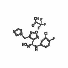 O/N=C(/Nc1ccc(F)c(Cl)c1)c1nonc1Cn1ccnc1.O=C(O)C(F)(F)F